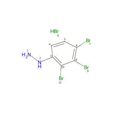 Br.NNc1ccc(Br)c(Br)c1Br